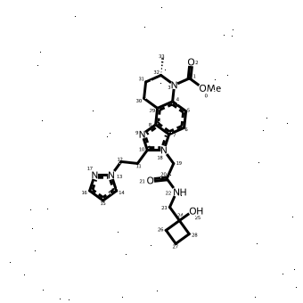 COC(=O)N1c2ccc3c(nc(CCn4cccn4)n3CC(=O)NCC3(O)CCC3)c2CC[C@@H]1C